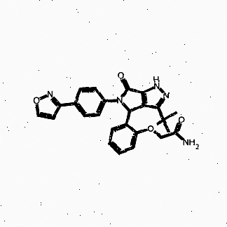 CC(C)(C)c1n[nH]c2c1C(c1ccccc1OCC(N)=O)N(c1ccc(-c3ccon3)cc1)C2=O